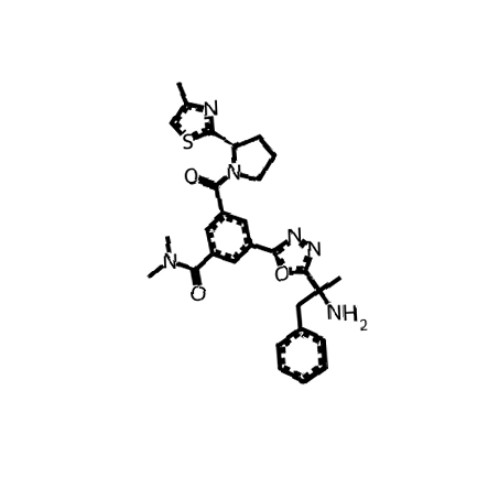 Cc1csc([C@H]2CCCN2C(=O)c2cc(C(=O)N(C)C)cc(-c3nnc(C(C)(N)Cc4ccccc4)o3)c2)n1